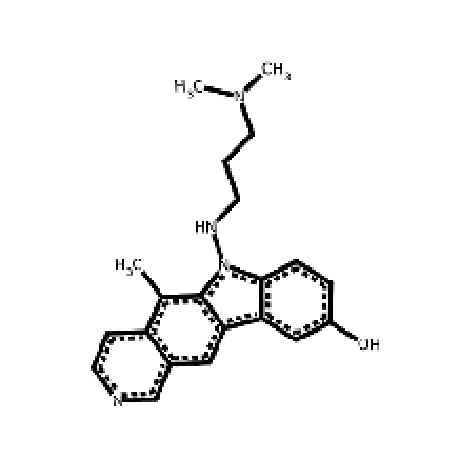 Cc1c2ccncc2cc2c3cc(O)ccc3n(NCCCN(C)C)c12